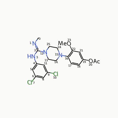 C/N=C(/Nc1cc(Cl)cc(Cl)c1)N1CCN(c2ccc(OC(C)=O)cc2OC)CC1